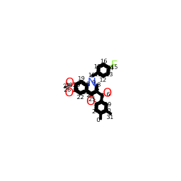 Cc1ccc(C(=O)c2cn(Cc3ccc(F)cc3)c3cc4c(cc3c2=O)OCO4)cc1C